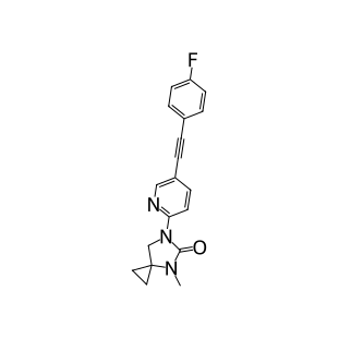 CN1C(=O)N(c2ccc(C#Cc3ccc(F)cc3)cn2)CC12CC2